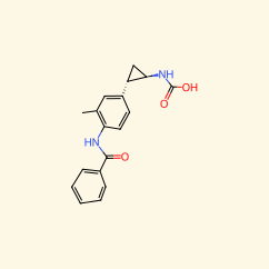 Cc1cc([C@@H]2C[C@H]2NC(=O)O)ccc1NC(=O)c1ccccc1